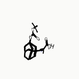 C/C(=C\C12CC3CC(C1)CC(OC(=O)OC(C)(C)C)(C3)C2)C(=O)O